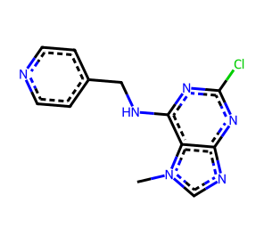 Cn1cnc2nc(Cl)nc(NCc3ccncc3)c21